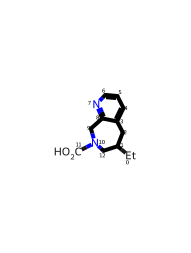 CCC1Cc2cccnc2CN(C(=O)O)C1